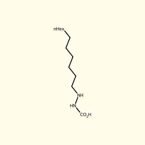 CCCCCCCCCCCCNNC(=O)O